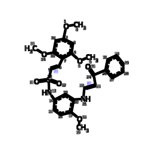 COc1cc(OC)c(/C=C/S(=O)(=O)Nc2ccc(OC)c(N/C=C/C(=O)c3ccccc3)c2)c(OC)c1